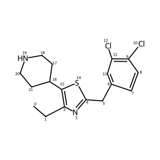 CCc1nc(Cc2ccc(Cl)c(Cl)c2)sc1C1CCNCC1